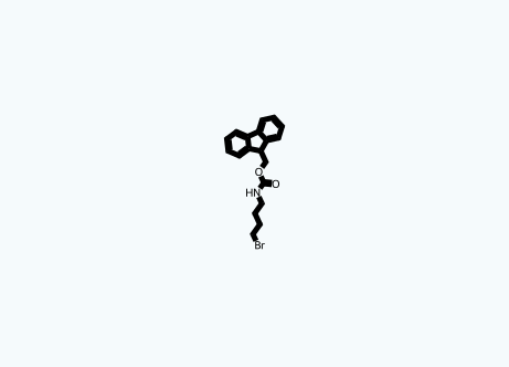 O=C(NCCCCBr)OCC1c2ccccc2-c2ccccc21